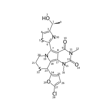 C[C@H](O)c1csc(-c2c3c(=O)n(C)c(=O)n(C)c3c3n2CCSC3c2ccc(Cl)o2)n1